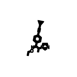 CCO/N=C(/c1ccc(C#CC2CC2)cc1)C(C)n1ccnc1